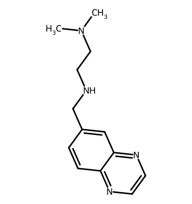 CN(C)CCNCc1ccc2nccnc2c1